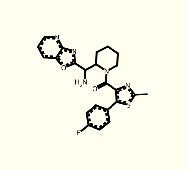 Cc1nc(C(=O)N2CCCCC2C(N)c2nc3ncccc3o2)c(-c2ccc(F)cc2)s1